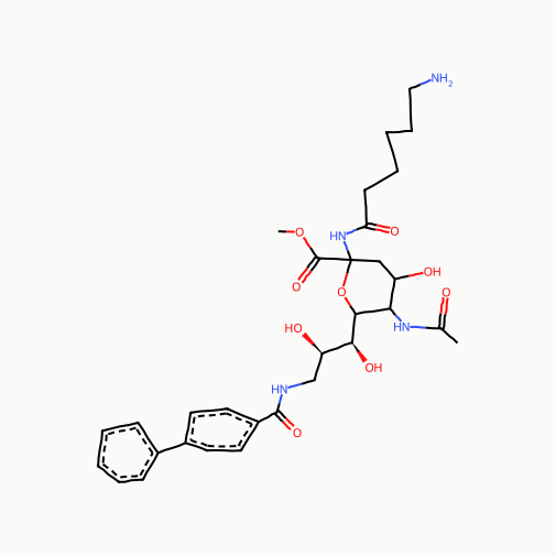 COC(=O)C1(NC(=O)CCCCCN)CC(O)C(NC(C)=O)C([C@@H](O)[C@H](O)CNC(=O)c2ccc(-c3ccccc3)cc2)O1